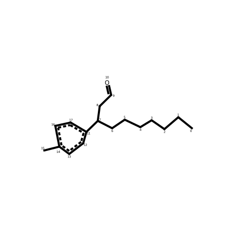 CCCCCCCC(CC=O)c1ccc(C)cc1